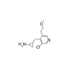 COCCc1cncc(Cl)c1CC1CC1N